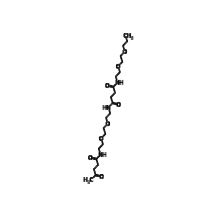 CCCOCCOCCNC(=O)CCC(=O)NCCOCCOCCNC(=O)CCC(C)=O